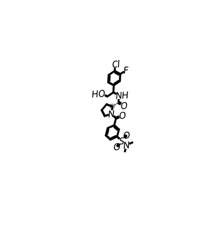 CN(C)S(=O)(=O)c1cccc(C(=O)N2CCC[C@@H]2C(=O)NC(CO)c2ccc(Cl)c(F)c2)c1